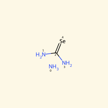 N.NC(N)=[Se]